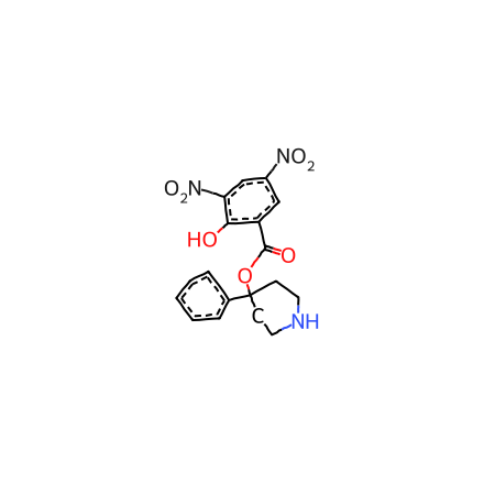 O=C(OC1(c2ccccc2)CCNCC1)c1cc([N+](=O)[O-])cc([N+](=O)[O-])c1O